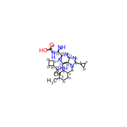 CC1CCC(Cn2c(C3CC3)nc3nc(C(=N)NC(=O)O)nc(N[C@H](C)C4CCC4)c32)CC1